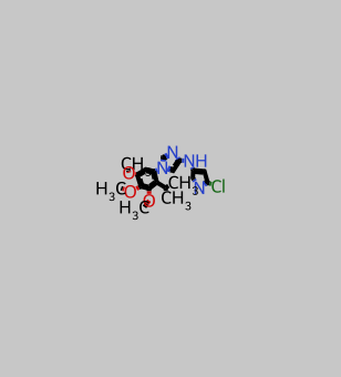 COc1cc(-n2cnc(NC3=CC(Cl)=NC3)c2)c(C(C)C)c(OC)c1OC